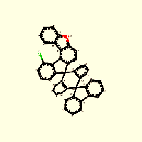 Clc1cccc2c1-c1c(ccc3oc4ccccc4c13)C21C2=C(C=CCC2)C2(c3ccccc3-c3ccccc32)c2ccccc21